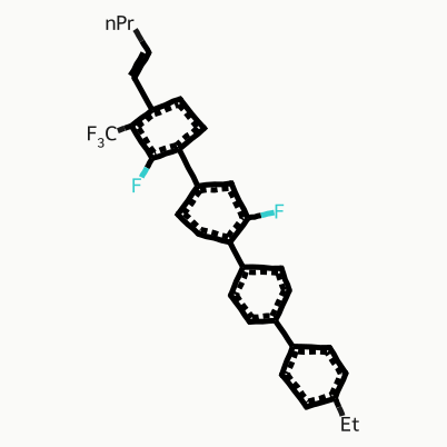 CCC/C=C/c1ccc(-c2ccc(-c3ccc(-c4ccc(CC)cc4)cc3)c(F)c2)c(F)c1C(F)(F)F